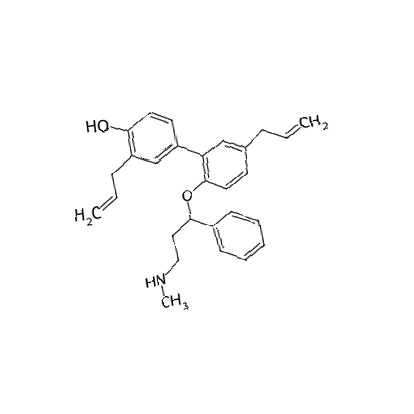 C=CCc1ccc(OC(CCNC)c2ccccc2)c(-c2ccc(O)c(CC=C)c2)c1